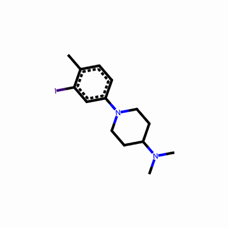 Cc1ccc(N2CCC(N(C)C)CC2)cc1I